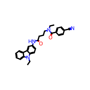 CCN(CCCC(=O)Nc1ccc2c(c1)c1ccccc1n2CC)C(=O)c1ccc(C#N)cc1